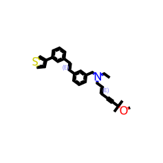 CCN(C/C=C/C#CC(C)(C)OC)Cc1cccc(/C=C/c2cccc(-c3ccsc3)c2)c1